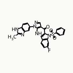 Cc1nc2cc(-n3ncc(C(=O)c4cc5ccc(F)cc5n4S(=O)(=O)c4ccccc4)c3N)ccc2[nH]1